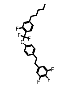 CCCCCc1ccc(C(F)(F)Oc2ccc(CCc3cc(F)c(F)c(F)c3)cc2)c(F)c1